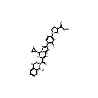 CNC(=O)C1CCN(c2ccc(-c3cc4cc(C(=O)N5CCc6ccccc6[C@H]5C)nc(C5CC5)n4n3)c(F)c2)C1